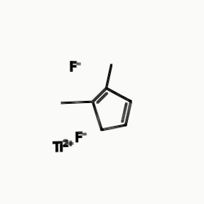 CC1=C(C)CC=C1.[F-].[F-].[Ti+2]